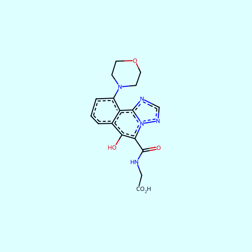 O=C(O)CNC(=O)c1c(O)c2cccc(N3CCOCC3)c2c2ncnn12